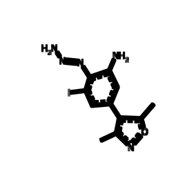 Cc1noc(C)c1-c1cc(N)c(N=NN)c(I)c1